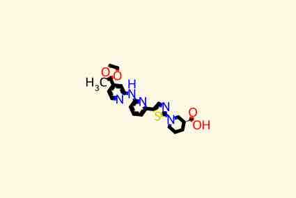 CC1(c2ccnc(Nc3cccc(-c4cnc(N5CCC[C@@H](C(=O)O)C5)s4)n3)c2)OCCO1